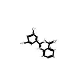 O=c1oc(-c2cc(F)cc(F)c2)nc2ccccc12